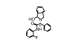 O=C(Nc1ccccc1F)[C@@H](c1ccccc1)N1Cc2ccccc2C1O